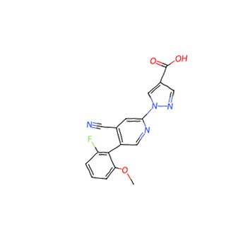 COc1cccc(F)c1-c1cnc(-n2cc(C(=O)O)cn2)cc1C#N